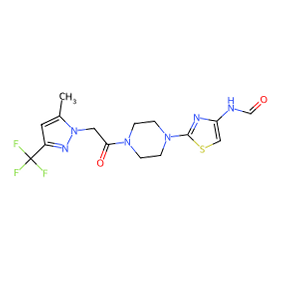 Cc1cc(C(F)(F)F)nn1CC(=O)N1CCN(c2nc(NC=O)cs2)CC1